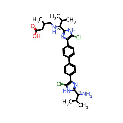 CC(CN[C@H](c1nc(-c2ccc(-c3ccc(-c4nc([C@@H](N)C(C)C)[nH]c4Cl)cc3)cc2)c(Cl)[nH]1)C(C)C)CC(=O)O